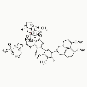 COc1ccc(CN(Cc2ccc(OC)cc2)c2cc(-c3nc4c5c(nc(N6C[C@@H](S(C)(=O)=O)[C@H]6CO)nc5c3F)N3C[C@H]5CC[C@@H]([C@H]3[C@H](C)O4)N5C(=O)OC(C)(C)C)c(C(F)(F)F)c(C)c2F)cc1